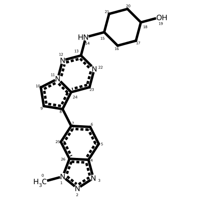 Cn1nnc2ccc(-c3ccn4nc(NC5CCC(O)CC5)ncc34)cc21